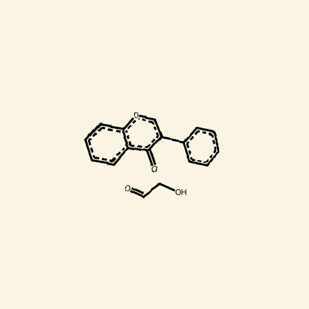 O=CCO.O=c1c(-c2ccccc2)coc2ccccc12